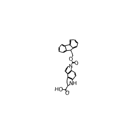 O=C(O)C1Cc2c(ccc3c2ccn3C(=O)OCC2c3ccccc3-c3ccccc32)N1